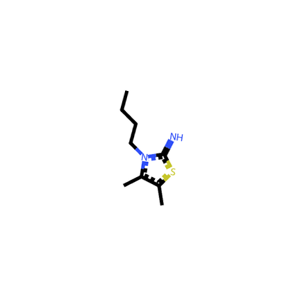 CCCCn1c(C)c(C)sc1=N